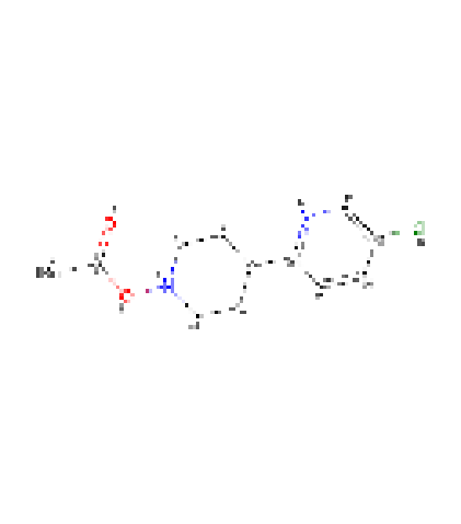 CC(C)(C)C(=O)ON1CCC(c2ccc(Cl)cn2)CC1